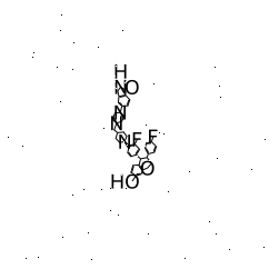 O=C1NCc2cc(N3CCN(CC4CCN(c5ccc(C6c7ccc(O)cc7OCC6c6ccc(F)cc6)cc5F)CC4)CC3)ccc21